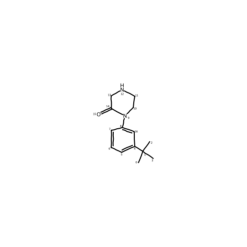 CC(C)(C)c1cccc(N2CCNCC2=O)c1